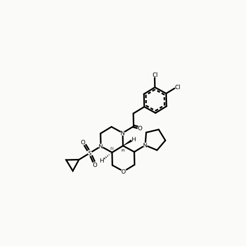 O=C(Cc1ccc(Cl)c(Cl)c1)N1CCN(S(=O)(=O)C2CC2)[C@@H]2COCC(N3CCCC3)[C@H]21